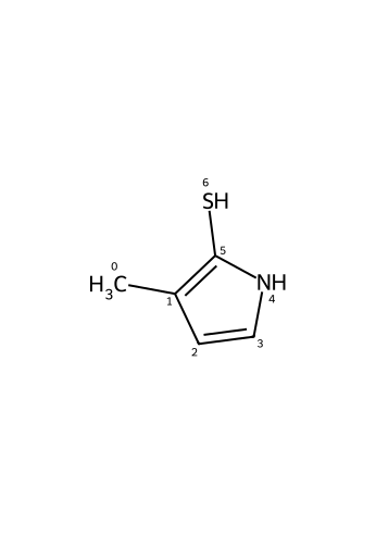 Cc1cc[nH]c1S